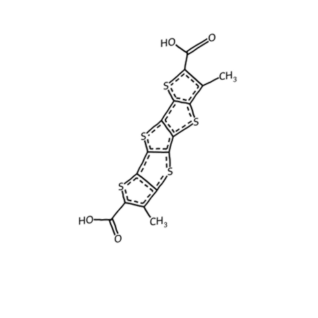 Cc1c(C(=O)O)sc2c1sc1c2sc2c3sc(C(=O)O)c(C)c3sc21